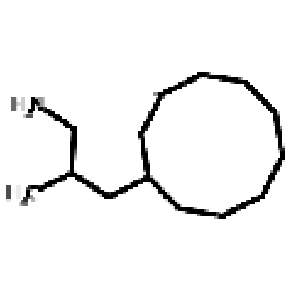 CC(CN)CC1C[CH]CCCCCCC1